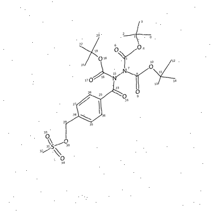 CC(C)(C)OC(=O)N(C(=O)OC(C)(C)C)N(C(=O)OC(C)(C)C)C(=O)c1ccc(COS(C)(=O)=O)cc1